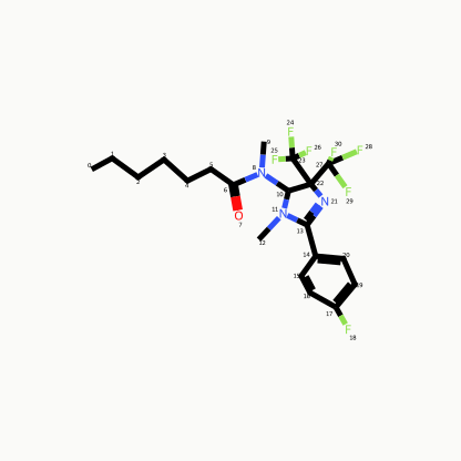 CCCCCCC(=O)N(C)C1N(C)C(c2ccc(F)cc2)=NC1(C(F)(F)F)C(F)(F)F